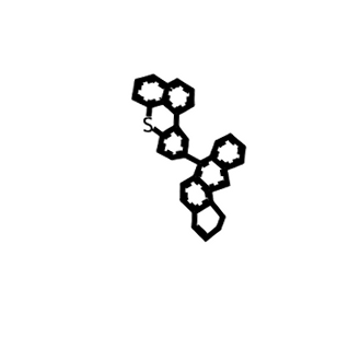 C1=Cc2ccc3c(-c4ccc5c(c4)-c4cccc6cccc(c46)S5)c4ccccc4cc3c2CC1